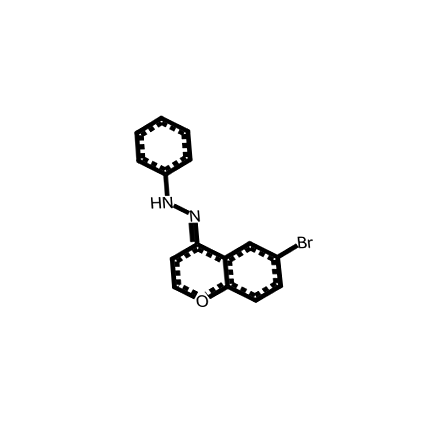 Brc1ccc2occc(=NNc3ccccc3)c2c1